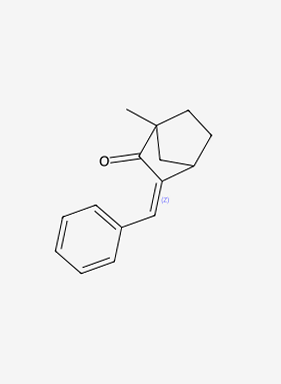 CC12CCC(C1)/C(=C/c1ccccc1)C2=O